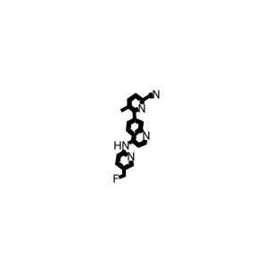 Cc1ccc(C#N)nc1-c1ccc2c(Nc3ccc(CF)cn3)ccnc2c1